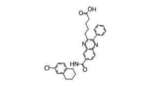 O=C(O)CCCCc1nc2cc(C(=O)N[C@@H]3CCCc4cc(Cl)ccc43)ccc2nc1-c1ccccc1